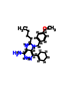 CCCCc1nc2c(N)nnc(C3=CCCCC3)c2n1Cc1ccc(OC)cc1